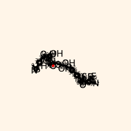 Cc1ncsc1-c1ccc(CNC(=O)[C@@H]2C[C@@H](O)CN2C(=O)[C@@H](NC(=O)COC[C@@H](O)[C@H](O)COc2ccc(-c3ccc(N4C(=S)N(c5ccc(C#N)c(C(F)(F)F)c5)C(=O)C4(C)C)cc3)cc2)C(C)(C)C)cc1